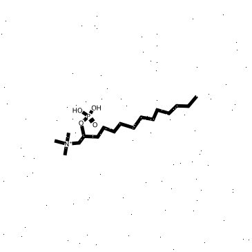 CCCCCCCCCCCCC(C[N+](C)(C)C)OP(=O)(O)O